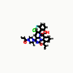 C=CC(=O)N1CCN(c2nc(=O)n(-c3c(CCC)cccc3C(=O)O)c3nc(-c4ccccc4F)c(Cl)cc23)[C@@H](C)C1